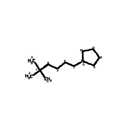 CC(C)(C)CCCCN1CCCC1